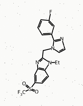 CCn1c(Cn2ccnc2-c2cccc(F)c2)nc2cc(S(=O)(=O)C(F)(F)F)ccc21